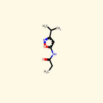 CCC(=O)Nc1cc(C(C)C)no1